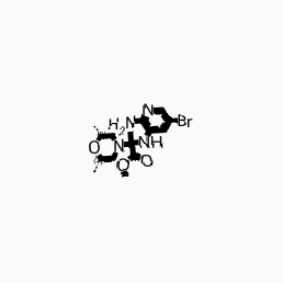 COC(=O)C(C)(Nc1cc(Br)cnc1N)N1C[C@@H](C)O[C@@H](C)C1